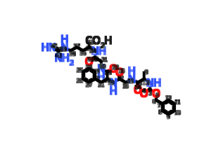 CC(NC(=O)OCc1ccccc1)C(=O)NCC(=O)NC(Cc1ccccc1)C(=O)NCC(=O)NC(CCCNC(=N)N)C(=O)O